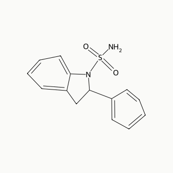 NS(=O)(=O)N1c2ccccc2CC1c1ccccc1